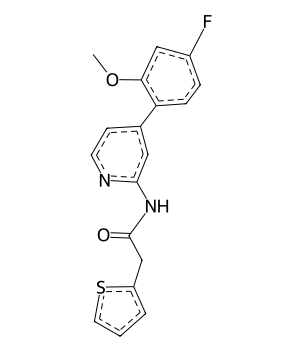 COc1cc(F)ccc1-c1ccnc(NC(=O)Cc2cccs2)c1